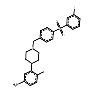 Cc1ccc(N)cc1C1CCN(Cc2ccc(S(=O)(=O)c3cccc(F)c3)cc2)CC1